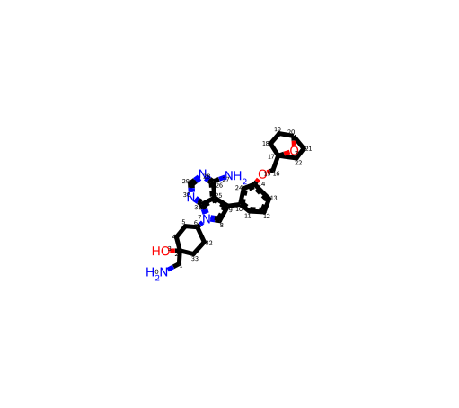 NCC1(O)CCC(n2cc(-c3cccc(OCC45CCC(CC4)O5)c3)c3c(N)ncnc32)CC1